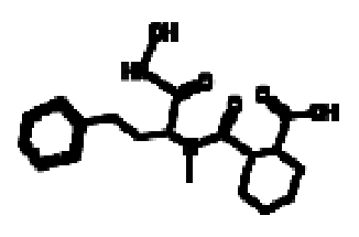 CN(C(=O)C1CCCCC1C(=O)O)C(CCc1ccccc1)C(=O)NO